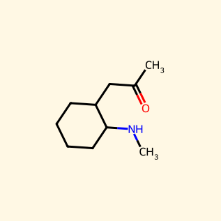 CNC1CCCCC1CC(C)=O